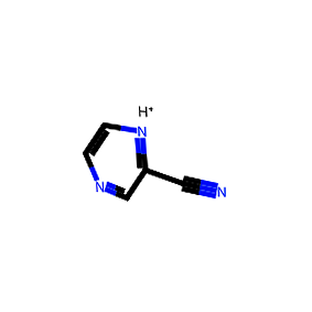 N#Cc1cnccn1.[H+]